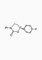 CC(C)N1CC[C@@H](c2ccc(F)cc2)OC1=O